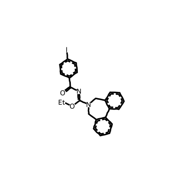 CCOC(=NC(=O)c1ccc(I)cc1)N1Cc2ccccc2-c2ccccc2C1